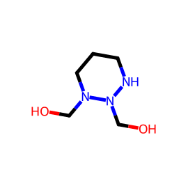 OCN1CCCNN1CO